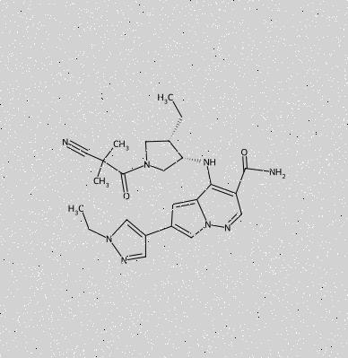 CC[C@H]1CN(C(=O)C(C)(C)C#N)C[C@H]1Nc1c(C(N)=O)cnn2cc(-c3cnn(CC)c3)cc12